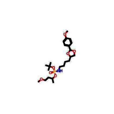 COCCC(C)OP(=O)(NCCCCC1COC(c2ccc(OC)cc2)O1)OC(C)(C)C